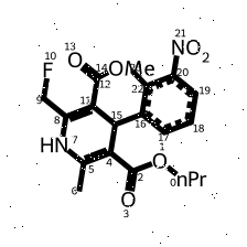 CCCOC(=O)C1=C(C)NC(CF)=C(C(=O)OC)C1c1cccc([N+](=O)[O-])c1C